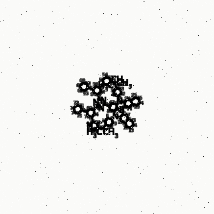 CC(C)(C)c1ccc(N2c3cc4ccccc4cc3B3c4cc5ccccc5cc4N(c4ccc(C(C)(C)C)cc4)c4cc(-c5nc(-c6cc(-c7ccccc7)cc(-c7ccccc7)c6)nc(-c6cc(-c7ccccc7)cc(-c7ccccc7)c6)n5)cc2c43)cc1